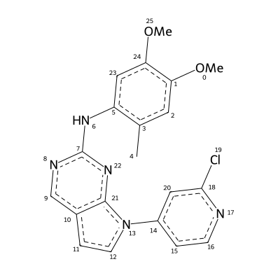 COc1cc(C)c(Nc2ncc3ccn(-c4ccnc(Cl)c4)c3n2)cc1OC